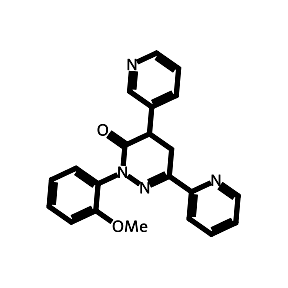 COc1ccccc1N1N=C(c2ccccn2)CC(c2cccnc2)C1=O